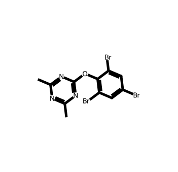 Cc1nc(C)nc(Oc2c(Br)cc(Br)cc2Br)n1